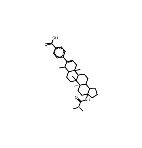 CC1C(c2ccc(C(=O)O)cc2)=CCC2(C)C1CCC1(C)C2CCC2C3CCCC3(NC(=O)N(C)C)CC[C@]21C